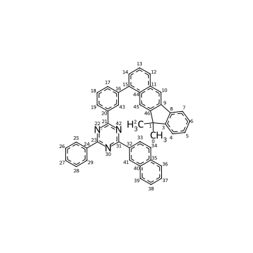 CC1(C)c2ccccc2-c2cc3cccc(-c4cccc(-c5nc(-c6ccccc6)nc(-c6ccc7ccccc7c6)n5)c4)c3cc21